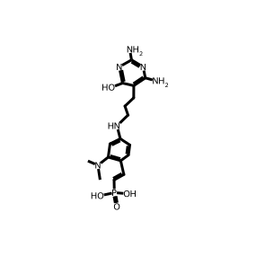 CN(C)c1cc(NCCCc2c(N)nc(N)nc2O)ccc1/C=C/P(=O)(O)O